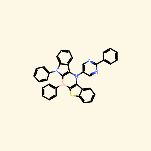 c1ccc(B2c3sc4ccccc4c3N(c3cnc(-c4ccccc4)nc3)c3c2n(-c2ccccc2)c2ccccc32)cc1